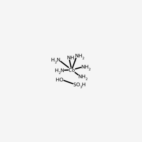 O=S(=O)(O)O.[NH2][Co]([NH2])([NH2])([NH2])([NH2])[NH2]